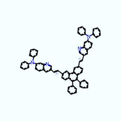 C(=C\c1ccc2c(-c3ccccc3)c(-c3ccccc3)c3ccc(/C=C/c4cnc5cc(N(c6ccccc6)c6ccccc6)ccc5c4)cc3c2c1)/c1cnc2cc(N(c3ccccc3)c3ccccc3)ccc2c1